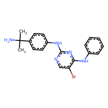 CC(C)(N)c1ccc(Nc2ncc(Br)c(Nc3ccccc3)n2)cc1